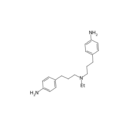 CCN(CCCc1ccc(N)cc1)CCCc1ccc(N)cc1